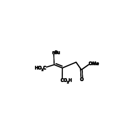 CCCCC(C(=O)O)=C(CC(=O)OC)C(=O)O